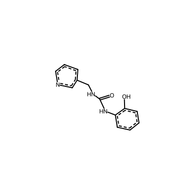 O=C(NCc1cccnc1)Nc1ccccc1O